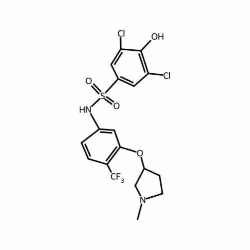 CN1CCC(Oc2cc(NS(=O)(=O)c3cc(Cl)c(O)c(Cl)c3)ccc2C(F)(F)F)C1